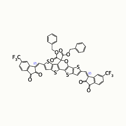 O=C1C(=O)c2ccc(C(F)(F)F)cc2/C1=C/c1cc2sc3c(c2s1)OC(C(=O)OCc1ccccc1)(C(=O)OCc1ccccc1)c1c-3sc2cc(/C=C3\C(=O)C(=O)c4ccc(C(F)(F)F)cc43)sc12